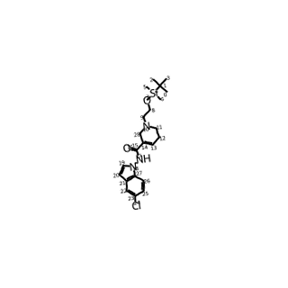 CC(C)(C)[Si](C)(C)OCCN1CCC=C(C(=O)Nn2ccc3cc(Cl)ccc32)C1